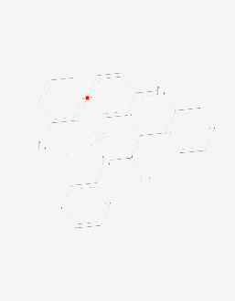 O=C(c1c2ccccc2nc2ccccc12)N(c1ccccc1)S(=O)(=O)c1ccccc1[N+](=O)[O-]